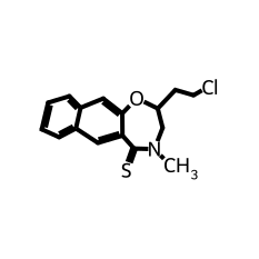 CN1CC(CCCl)Oc2cc3ccccc3cc2C1=S